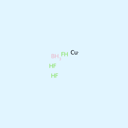 B.F.F.F.[Cu]